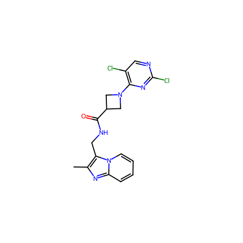 Cc1nc2ccccn2c1CNC(=O)C1CN(c2nc(Cl)ncc2Cl)C1